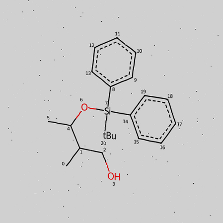 CC(CO)C(C)O[Si](c1ccccc1)(c1ccccc1)C(C)(C)C